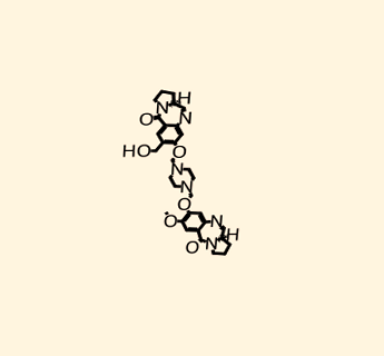 COc1cc2c(cc1OCN1CCN(COc3cc4c(cc3CO)C(=O)N3CCC[C@H]3C=N4)CC1)N=C[C@@H]1CCCN1C2=O